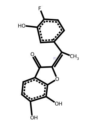 C/C(=C1\Oc2c(ccc(O)c2O)C1=O)c1ccc(F)c(O)c1